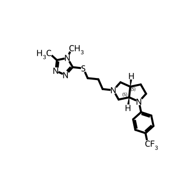 Cc1nnc(SCCCN2C[C@@H]3CCN(c4ccc(C(F)(F)F)cc4)[C@@H]3C2)n1C